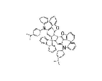 CC(C)C1=CCC(N(C2=CC3C(c4oc5c(c42)CCC=C5)c2c(cc(N(C4=CC=CCC4)c4ccc(C(C)C)cc4)c4c2oc2ccccc24)C32c3ccccc3-c3ccccc32)c2ccccc2)C=C1